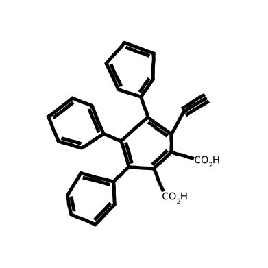 C#Cc1c(C(=O)O)c(C(=O)O)c(-c2ccccc2)c(-c2ccccc2)c1-c1ccccc1